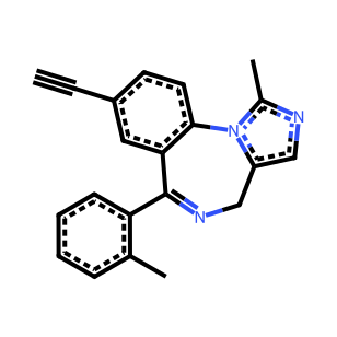 C#Cc1ccc2c(c1)C(c1ccccc1C)=NCc1cnc(C)n1-2